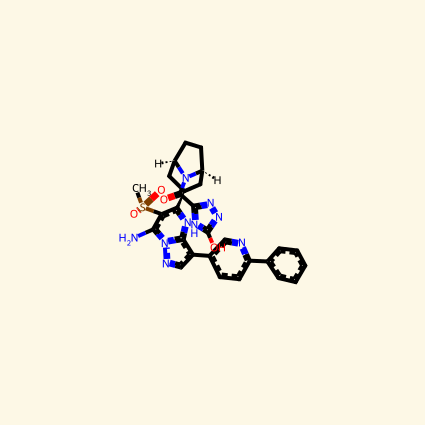 CS(=O)(=O)c1c([C@H]2C[C@H]3CC[C@@H](C2)N3C(=O)c2nnc(O)[nH]2)nc2c(-c3ccc(-c4ccccc4)nc3)cnn2c1N